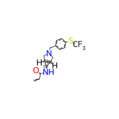 C=CC(=O)N[C@H]1[C@@H]2CN(Cc3ccc(SC(F)(F)F)cc3)C[C@@H]21